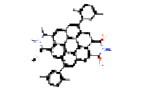 C=C=C1c2cc3c(-c4cc(C)ccc4C)cc4cc5c6c7c4c3c3c2C(=CC2C=C(C4CC(C)=CC=C4C)C(=C7C32)CC6C(=O)N(C)C5=O)C(C)N1C